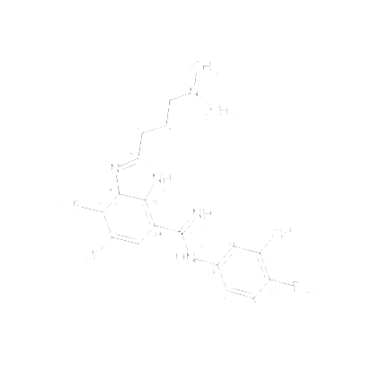 CN(C)CCCc1nc2c(F)c(F)cc(C(=N)Nc3ccc(F)c(Cl)c3)c2[nH]1